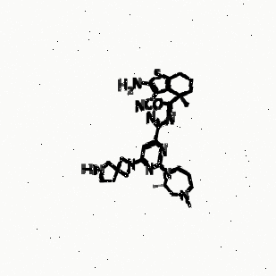 C[C@H]1CN(C)CCCN1c1nc(-c2noc([C@@]3(C)CCCc4sc(N)c(C#N)c43)n2)cc(N2CC3(CCNC3)C2)n1